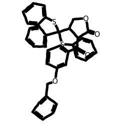 O=C1OCC(C(Sc2ccccc2)(Sc2ccccc2)c2ccccc2)C1C(=O)c1cccc(OCc2ccccc2)c1